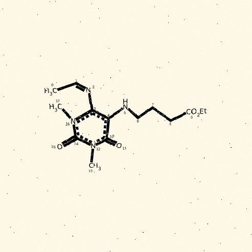 C/C=N\c1c(NCCCC(=O)OCC)c(=O)n(C)c(=O)n1C